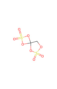 O=S1(=O)OCC2(O1)OS(=O)(=O)O2